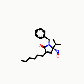 CCCCCCC1=CC(N=O)(C(C)C)N(Cc2ccccc2)C1=O